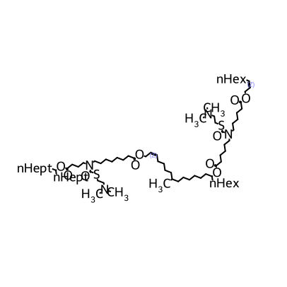 CCCCCC/C=C\COC(=O)CCCCCN(CCCCCC(=O)OC(CCCCCC)CCCCCCC(C)CCCC/C=C\COC(=O)CCCCCCCN(CCCC(=O)OC(CCCCCCC)CCCCCCC)C(=O)SCCN(C)C)C(=O)SCCN(C)C